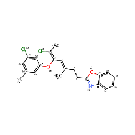 CC(=O)/C(Cl)=C(\C=C(/C)CCc1nc2ccccc2o1)Oc1cc(Cl)cc(C#N)c1